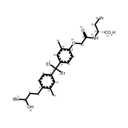 CCC(CC)(c1ccc(CCC(O)C(C)(C)C)c(C)c1)c1ccc(OCC(=O)N[C@H](CC(C)C)C(=O)O)c(C)c1